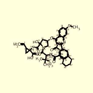 C=CC1CC1(NC(=O)C1(O)C[C@@H](Oc2cc(-c3ccccc3)nc3cc(OC)ccc23)CN1C(=O)C(NC(=O)C(NC(C)=O)C1CCCCC1)C(C)(C)C)C(=O)O